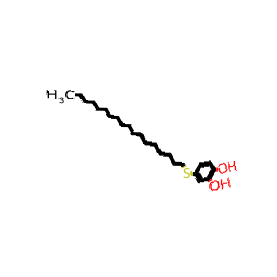 CCCCCCCCCCCCCCCCCCSc1ccc(O)c(O)c1